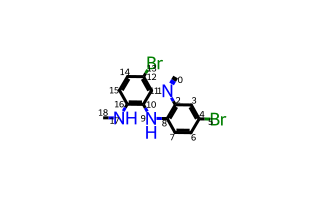 C=Nc1cc(Br)ccc1Nc1cc(Br)ccc1NC